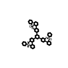 O=S1(c2ccccc2)=Nc2cc(-c3cc(-c4ccc5c(c4)N=S(=O)(c4ccccc4)c4ccccc4-5)cc(-c4ccc5c(c4)-c4ccccc4S(=O)(c4ccccc4)=N5)c3)ccc2-c2ccccc21